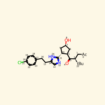 CC(=O)C[C@H](C(=O)C1C[C@H](O)C[C@H]1c1ncc(CCc2ccc(Cl)cc2)[nH]1)C(C)(C)C